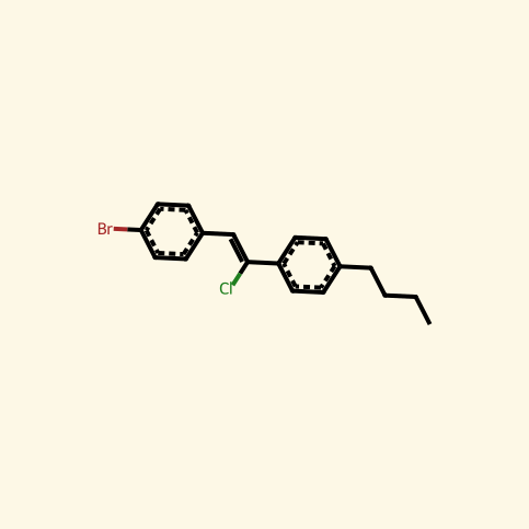 CCCCc1ccc(C(Cl)=Cc2ccc(Br)cc2)cc1